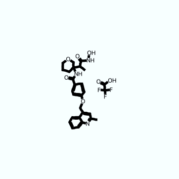 Cc1cc(COc2ccc(C(=O)NC3(C(C)C(=O)NO)CCCOC3)cc2)c2ccccc2n1.O=C(O)C(F)(F)F